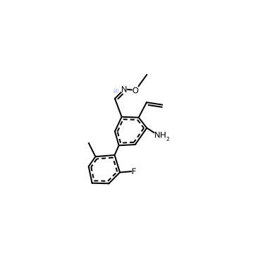 C=Cc1c(N)cc(-c2c(C)cccc2F)cc1/C=N\OC